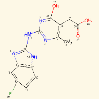 Cc1nc(Nc2nc3cc(F)ccc3[nH]2)nc(O)c1CC(=O)O